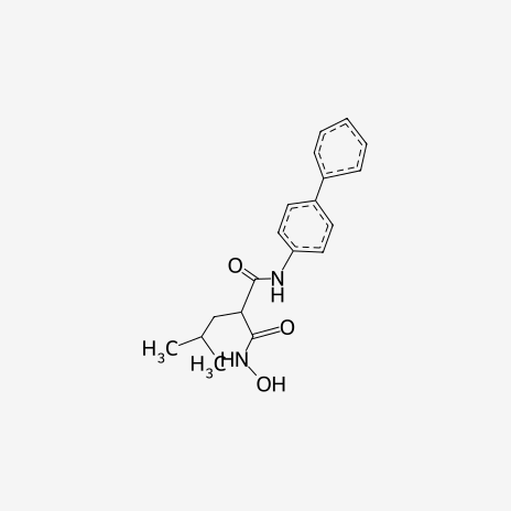 CC(C)CC(C(=O)NO)C(=O)Nc1ccc(-c2ccccc2)cc1